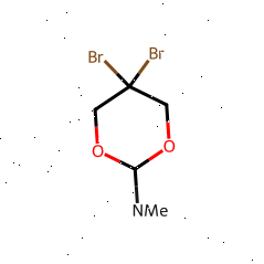 CNC1OCC(Br)(Br)CO1